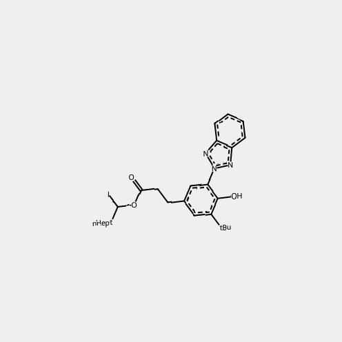 CCCCCCCC(I)OC(=O)CCc1cc(-n2nc3ccccc3n2)c(O)c(C(C)(C)C)c1